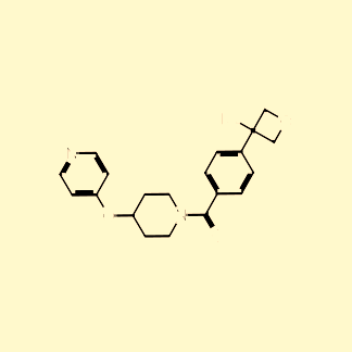 O=C(c1ccc(C2(O)COC2)cc1)N1CCC(Oc2ccncc2)CC1